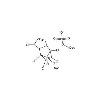 CCCCCCCCCCOS(=O)(=O)[O-].ClC1=C(Cl)C2(Cl)C3C(Cl)C=CC3C1(Cl)C2(Cl)Cl.[Na+]